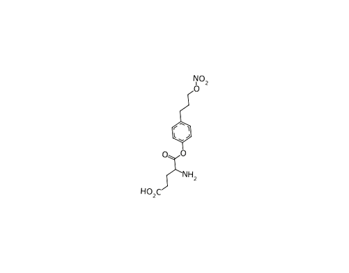 NC(CCC(=O)O)C(=O)Oc1ccc(CCCO[N+](=O)[O-])cc1